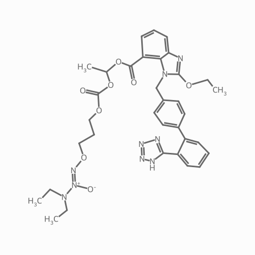 CCOc1nc2cccc(C(=O)OC(C)OC(=O)OCCCO/N=[N+](\[O-])N(CC)CC)c2n1Cc1ccc(-c2ccccc2-c2nnn[nH]2)cc1